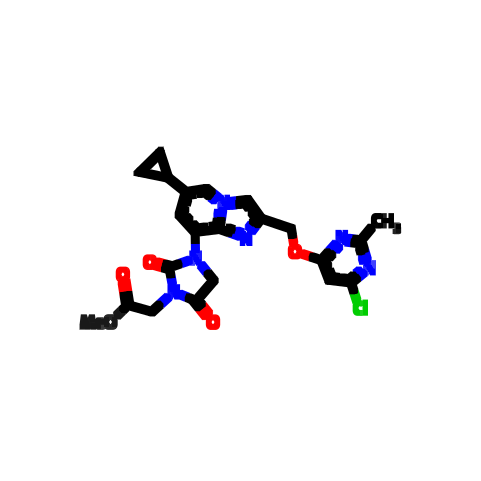 COC(=O)CN1C(=O)CN(c2cc(C3CC3)cn3cc(COc4cc(Cl)nc(C)n4)nc23)C1=O